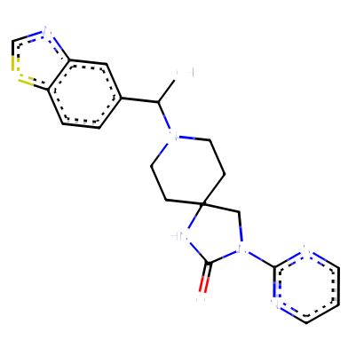 CC(c1ccc2scnc2c1)N1CCC2(CC1)CN(c1ncccn1)C(=O)N2